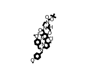 COc1ccc(CN(Cc2ccc(OC)cc2)c2ccc(I)c(-c3nc(F)c4c(c3Cl)OC[C@H]3CN(C(=O)OC(C)(C)C)CCN3C4=O)n2)cc1